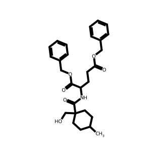 CC1CCC(CO)(C(=O)NC(CCC(=O)OCc2ccccc2)C(=O)OCc2ccccc2)CC1